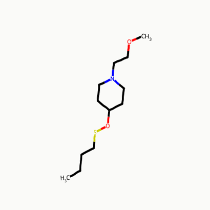 CCCCSOC1CCN(CCOC)CC1